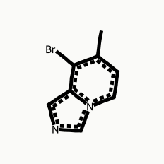 Cc1ccn2cncc2c1Br